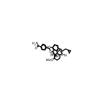 COC12CCC3(C[C@@H]1COCc1ccc(C(N)=O)cc1)[C@H]1Cc4ccc(O)c5c4[C@@]3(CCN1CC1CC1)[C@H]2O5